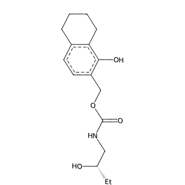 CC[C@H](O)CNC(=O)OCc1ccc2c(c1O)CCCC2